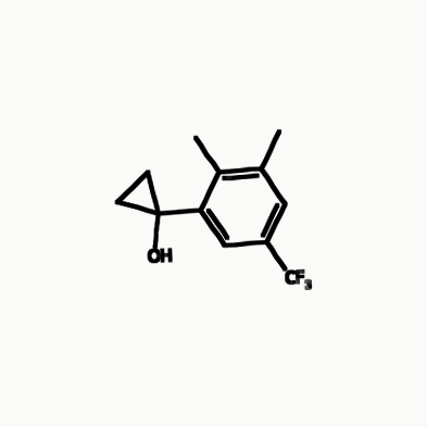 Cc1cc(C(F)(F)F)cc(C2(O)CC2)c1C